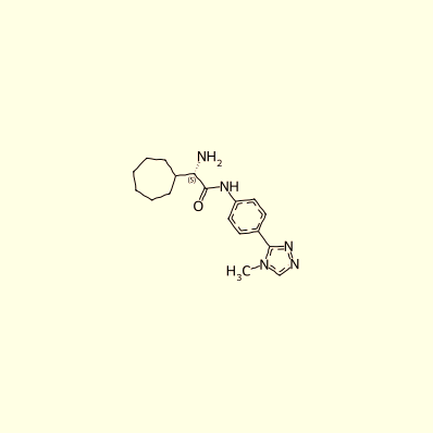 Cn1cnnc1-c1ccc(NC(=O)[C@@H](N)C2CCCCCC2)cc1